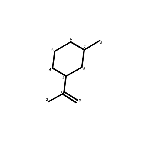 C=C(C)C1CCCC(C)C1